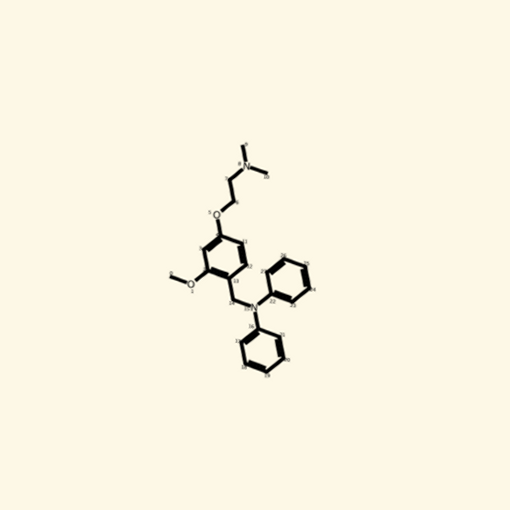 COc1cc(OCCN(C)C)ccc1CN(c1ccccc1)c1ccccc1